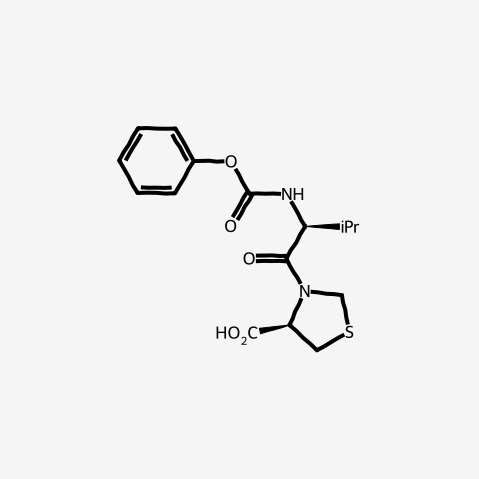 CC(C)[C@H](NC(=O)Oc1ccccc1)C(=O)N1CSC[C@H]1C(=O)O